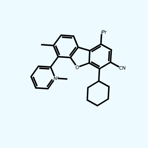 Cc1ccc2c(oc3c(C4CCCCC4)c(C#N)cc(C(C)C)c32)c1-c1cccc[n+]1C